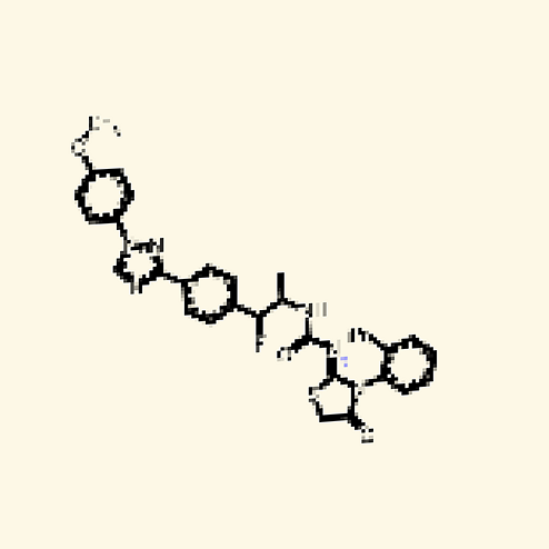 CC(C)c1ccccc1N1C(=O)CS/C1=N\C(=O)NC(C)C(F)c1ccc(-c2ncn(-c3ccc(OC(F)(F)F)cc3)n2)cc1